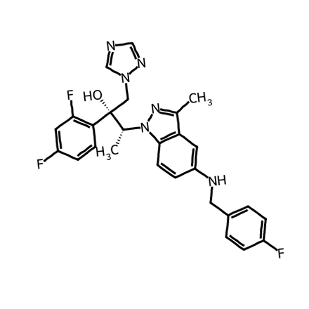 Cc1nn([C@H](C)[C@](O)(Cn2cncn2)c2ccc(F)cc2F)c2ccc(NCc3ccc(F)cc3)cc12